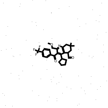 COCc1nc2c(c(C3CCCC3)c1C(=O)c1ccc(C(F)(F)F)cc1)C(C=O)CC(C)(C)C2